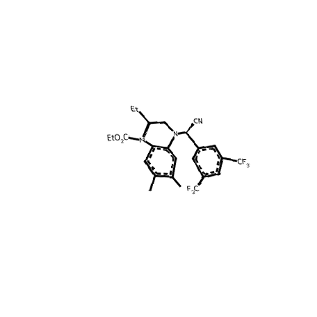 CCOC(=O)N1c2cc(C)c(C)cc2N([C@@H](C#N)c2cc(C(F)(F)F)cc(C(F)(F)F)c2)CC1CC